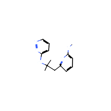 CC(C)(C)Nc1cccc(CC(C)(C)Nc2cccnn2)n1